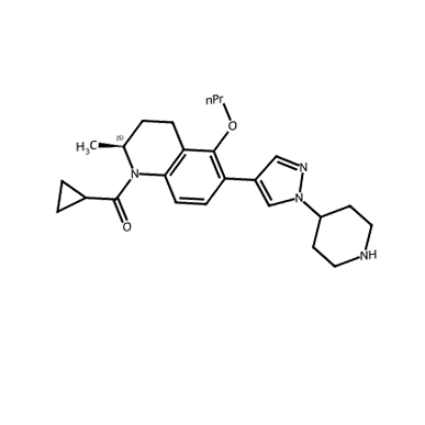 CCCOc1c(-c2cnn(C3CCNCC3)c2)ccc2c1CC[C@H](C)N2C(=O)C1CC1